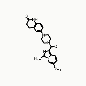 Cc1nc(C(=O)N2CCN(c3ccc4c(c3)CCC(=O)N4)CC2)c2ccc([N+](=O)[O-])cn12